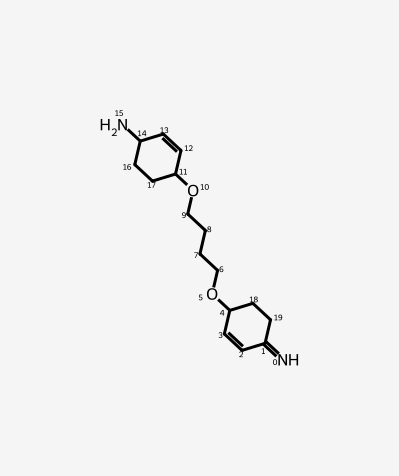 N=C1C=CC(OCCCCOC2C=CC(N)CC2)CC1